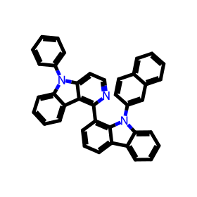 c1ccc(-n2c3ccccc3c3c(-c4cccc5c6ccccc6n(-c6ccc7ccccc7c6)c45)nccc32)cc1